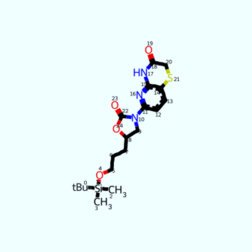 CC(C)(C)[Si](C)(C)OCCCC1CN(c2ccc3c(n2)NC(=O)CS3)C(=O)O1